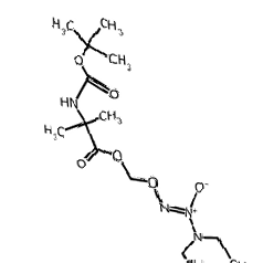 CCN(CC)/[N+]([O-])=N/OCOC(=O)C(C)(C)NC(=O)OC(C)(C)C